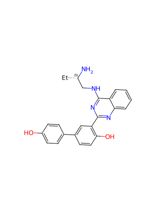 CC[C@H](N)CNc1nc(-c2cc(-c3ccc(O)cc3)ccc2O)nc2ccccc12